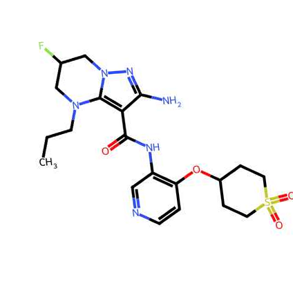 CCCN1CC(F)Cn2nc(N)c(C(=O)Nc3cnccc3OC3CCS(=O)(=O)CC3)c21